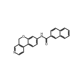 O=C(Nc1ccc2c(c1)OCc1cnccc1-2)c1ccc2ccccc2c1